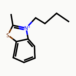 CCCC[n+]1c(C)sc2ccccc21